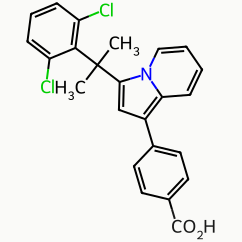 CC(C)(c1c(Cl)cccc1Cl)c1cc(-c2ccc(C(=O)O)cc2)c2ccccn12